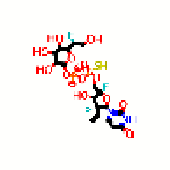 C=C[C@]1(F)[C@H](n2ccc(=O)[nH]c2=O)O[C@](F)(COP(=O)(S)OP(=O)(O)OC2OC([C@@H](F)CO)C(O)C(O)C2O)[C@H]1O